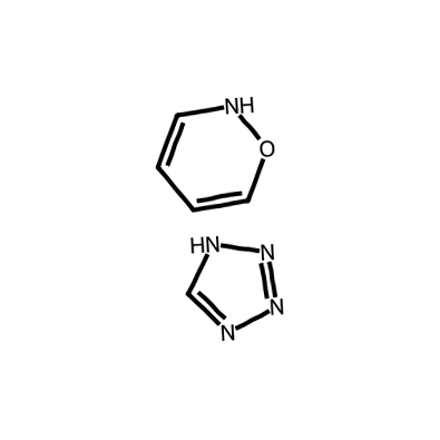 C1=CNOC=C1.c1nnn[nH]1